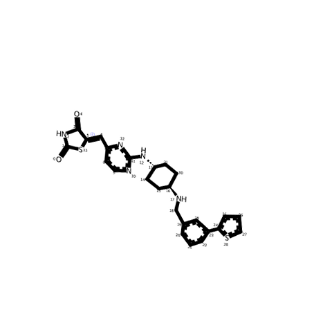 O=C1NC(=O)/C(=C/c2ccnc(N[C@H]3CC[C@H](NCc4cccc(-c5cccs5)c4)CC3)n2)S1